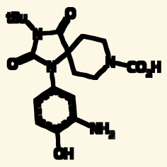 CC(C)(C)N1C(=O)N(c2ccc(O)c(N)c2)C2(CCN(C(=O)O)CC2)C1=O